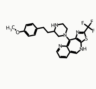 COc1ccc(CCC2CN(C3=c4ncccc4=CNc4sc(C(F)(F)F)nc43)CCN2)cc1